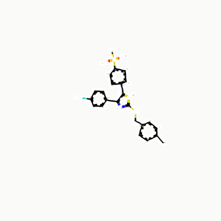 Cc1ccc(CSc2nc(-c3ccc(F)cc3)c(-c3ccc(S(C)(=O)=O)cc3)s2)cc1